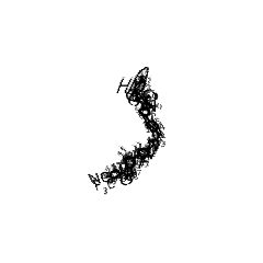 Cn1c2c(c3ccc(N4CCN(CC5CN(c6ccc(-c7ccc8c(c7)C(C)(C)C(=O)N8c7ccc(C#N)c(C(F)(F)F)c7)c(F)n6)C5)CC4)cc31)C(=O)N(C1CCC(=O)NC1=O)C2=O